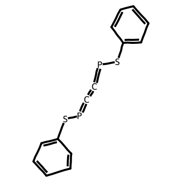 C(=C=PSc1ccccc1)=PSc1ccccc1